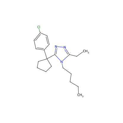 CCCCCn1c(CC)nnc1C1(c2ccc(Cl)cc2)CCCC1